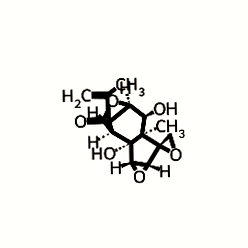 C=C(C)[C@@H]1[C@H]2OC(=O)[C@@H]1[C@]1(O)[C@H]3O[C@H]3[C@]3(CO3)[C@]1(C)[C@@H]2O